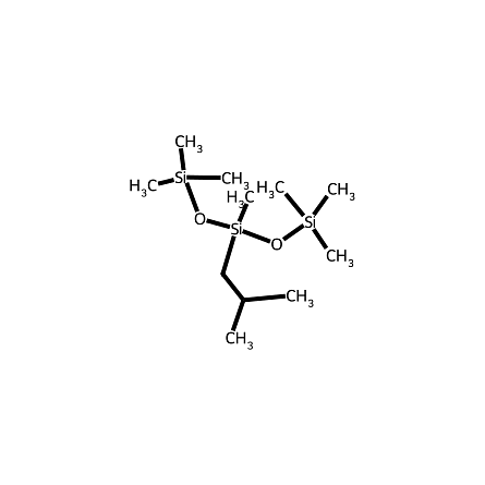 CC(C)C[Si](C)(O[Si](C)(C)C)O[Si](C)(C)C